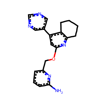 Nc1cccc(COc2cc(-c3cncnc3)c3c(n2)CCCC3)n1